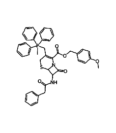 COc1ccc(COC(=O)C2=C(CP(I)(c3ccccc3)(c3ccccc3)c3ccccc3)CSC3C(NC(=O)Cc4ccccc4)C(=O)N23)cc1